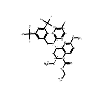 CCOC(=O)N1c2ccc(OC)nc2[C@@H](N(Cc2cc(C(F)(F)F)cc(C(F)(F)F)c2)c2ncc(I)cn2)C[C@H]1CC